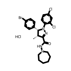 C[C@H]1C(C(=O)NN2CCCCCC2)=NN(c2ccc(Cl)cc2Cl)[C@H]1c1ccc(Br)cc1.Cl